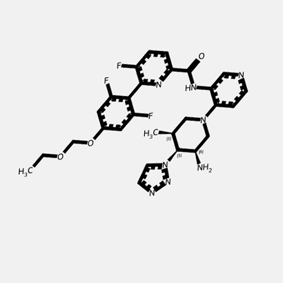 CCOCOc1cc(F)c(-c2nc(C(=O)Nc3cnccc3N3C[C@@H](N)[C@@H](n4ccnn4)[C@@H](C)C3)ccc2F)c(F)c1